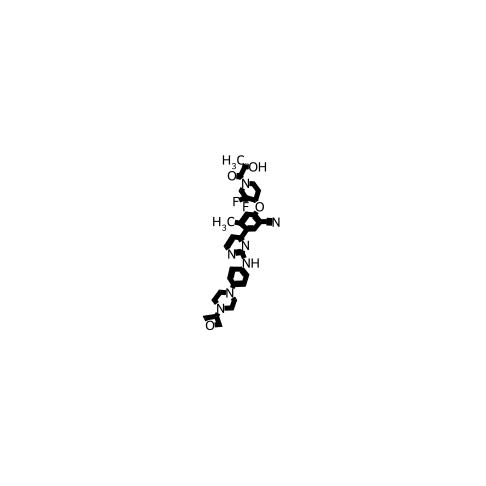 Cc1cc(OC2CCN(C(=O)[C@H](C)O)CC2(F)F)c(C#N)cc1-c1ccnc(Nc2ccc(N3CCN(C4COC4)CC3)cc2)n1